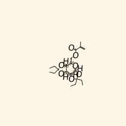 C=C(C)C(=O)OC[C@H]1O[C@H]2OC(CC)(CC)O[C@@H]2[C@H]2OC(CC)(CC)O[C@@H]21